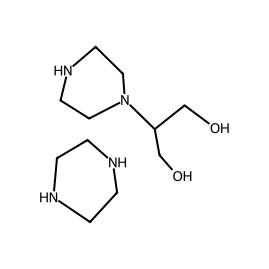 C1CNCCN1.OCC(CO)N1CCNCC1